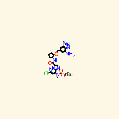 CN(C(=O)OC(C)(C)C)c1cc(Cl)nn2c(C(=O)N[C@@H]3CCC[C@H]3OCc3cc(N)c4nnn(C)c4c3)cnc12